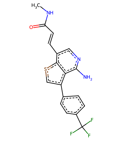 CNC(=O)C=Cc1cnc(N)c2c(-c3ccc(C(F)(F)F)cc3)csc12